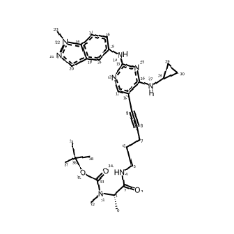 C[C@@H](C(=O)NCCCC#Cc1cnc(Nc2ccc3c(cnn3C)c2)nc1NC1CC1)N(C)C(=O)OC(C)(C)C